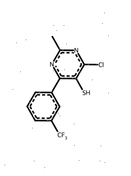 Cc1nc(Cl)c(S)c(-c2cccc(C(F)(F)F)c2)n1